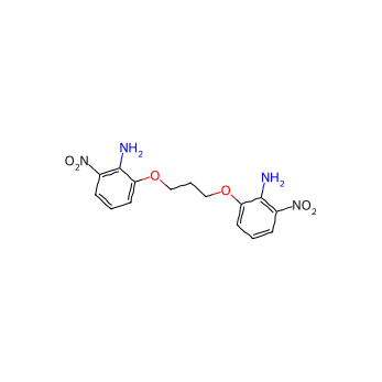 Nc1c(OCCCOc2cccc([N+](=O)[O-])c2N)cccc1[N+](=O)[O-]